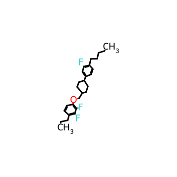 CCCCCc1ccc(C2CCC(COc3ccc(CCC)c(F)c3F)CC2)cc1F